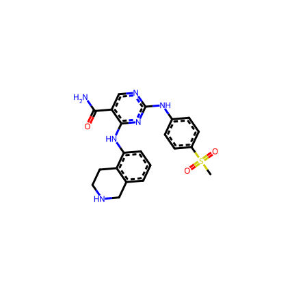 CS(=O)(=O)c1ccc(Nc2ncc(C(N)=O)c(Nc3cccc4c3CCNC4)n2)cc1